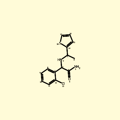 CC(NC(C(N)=O)c1ccccc1Cl)c1cccs1